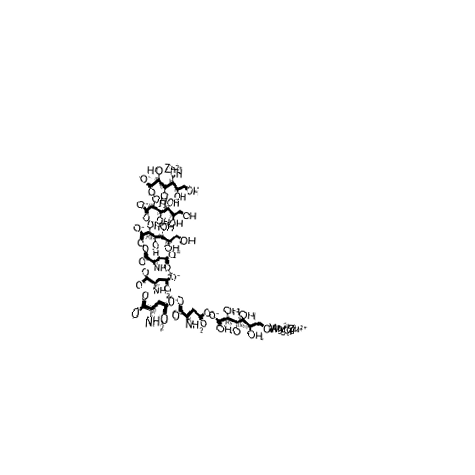 N[C@@H](CC(=O)[O-])C(=O)[O-].N[C@@H](CC(=O)[O-])C(=O)[O-].N[C@@H](CC(=O)[O-])C(=O)[O-].N[C@@H](CC(=O)[O-])C(=O)[O-].O=C([O-])[C@H](O)[C@@H](O)[C@H](O)[C@H](O)CO.O=C([O-])[C@H](O)[C@@H](O)[C@H](O)[C@H](O)CO.O=C([O-])[C@H](O)[C@@H](O)[C@H](O)[C@H](O)CO.O=C([O-])[C@H](O)[C@@H](O)[C@H](O)[C@H](O)CO.[Cu+2].[Mg+2].[Mg+2].[Mg+2].[Zn+2].[Zn+2]